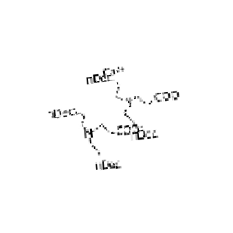 CCCCCCCCCCCCN(CCCCCCCCCCCC)CCC(=O)[O-].CCCCCCCCCCCCN(CCCCCCCCCCCC)CCC(=O)[O-].[Ca+2]